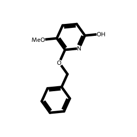 COc1ccc(O)nc1OCc1ccccc1